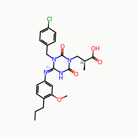 CCCc1ccc(/N=c2\[nH]c(=O)n(C[C@H](C)C(=O)O)c(=O)n2Cc2ccc(Cl)cc2)cc1OC